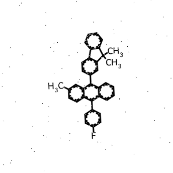 Cc1ccc2c(-c3ccc(F)cc3)c3ccccc3c(-c3ccc4c(c3)C(C)(C)c3ccccc3-4)c2c1